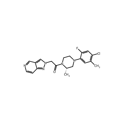 Cc1cc(N2CCN(C(=O)Cn3cc4cnccc4n3)[C@@H](C)C2)c(F)cc1Cl